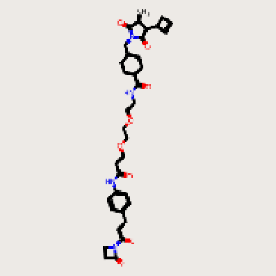 CC1C(=O)N(CC2CCC(C(=O)NCCOCCOCCC(=O)Nc3ccc(CCC(=O)N4CCC4=O)cc3)CC2)C(=O)C1C1C=CC1